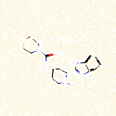 CN1CC[C@@H](NC(=O)N2CCOCC2)C[C@@H]1c1nc2ccccc2[nH]1.Cl